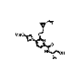 COC1CN(c2ccc(C(=O)N[C@H](CO)C(C)C)nc2OC[C@@H]2C[C@@H]2CF)C1